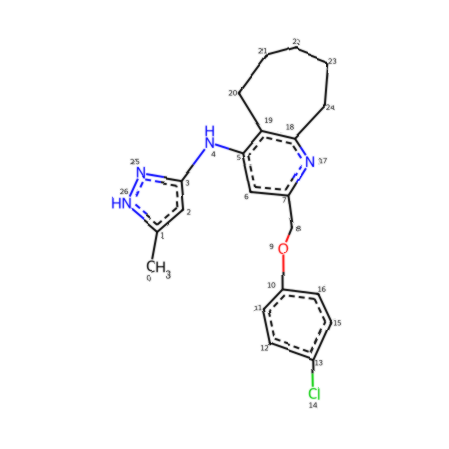 Cc1cc(Nc2cc(COc3ccc(Cl)cc3)nc3c2CCCCC3)n[nH]1